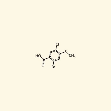 CSc1cc(Br)c(C(=O)O)cc1Cl